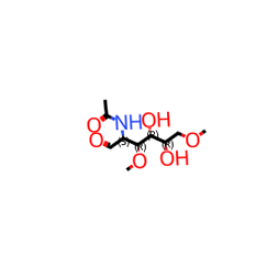 COC[C@@H](O)[C@@H](O)[C@H](OC)[C@@H](C=O)NC(C)=O